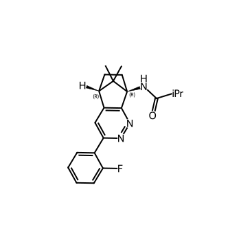 CC(C)C(=O)N[C@@]12CC[C@@H](c3cc(-c4ccccc4F)nnc31)C2(C)C